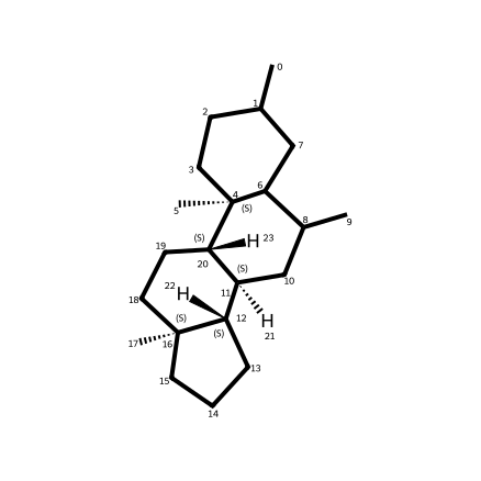 CC1CC[C@@]2(C)C(C1)C(C)C[C@H]1[C@@H]3CCC[C@@]3(C)CC[C@@H]12